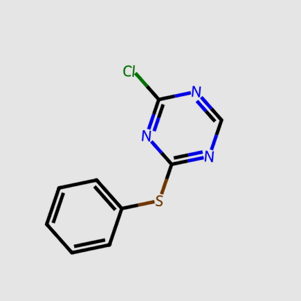 Clc1ncnc(Sc2ccccc2)n1